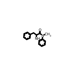 CN(C(=O)C(N)Cc1ccccc1)c1ccccc1